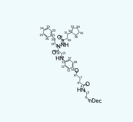 CCCCCCCCCCCCNC(=O)CCCOc1ccc(NCC(=O)N(CCc2ccccc2)NC(=O)CCC2CCCC2)cc1